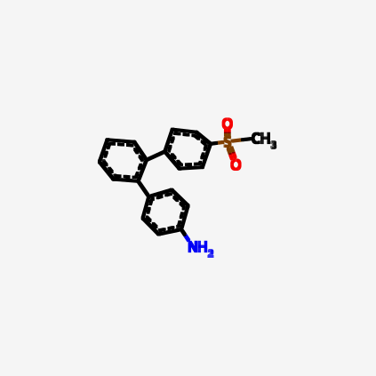 CS(=O)(=O)c1ccc(-c2ccccc2-c2ccc(N)cc2)cc1